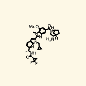 COc1cc(C(=O)N2C[C@H](N)[C@@H]3CC[C@H]2C3)cc2nc(-c3cc4ccc([C@@H](C)NC(=O)[C@H]5CC5(F)F)nc4n3CC3CC3)n(C)c12